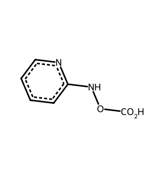 O=C(O)ONc1ccccn1